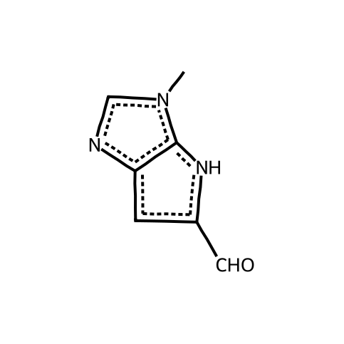 Cn1cnc2cc(C=O)[nH]c21